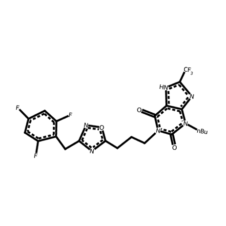 CCCCn1c(=O)n(CCCc2nc(Cc3c(F)cc(F)cc3F)no2)c(=O)c2[nH]c(C(F)(F)F)nc21